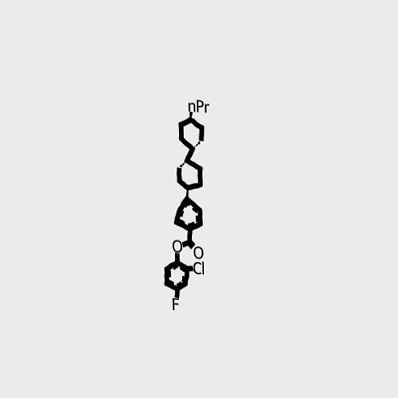 CCC[C@H]1CC[C@H]([C@H]2CC[C@H](c3ccc(C(=O)Oc4ccc(F)cc4Cl)cc3)CC2)CC1